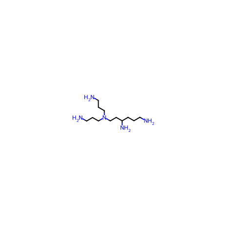 NCCCC(N)CCN(CCCN)CCCN